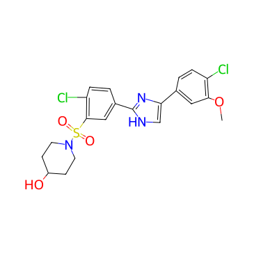 COc1cc(-c2c[nH]c(-c3ccc(Cl)c(S(=O)(=O)N4CCC(O)CC4)c3)n2)ccc1Cl